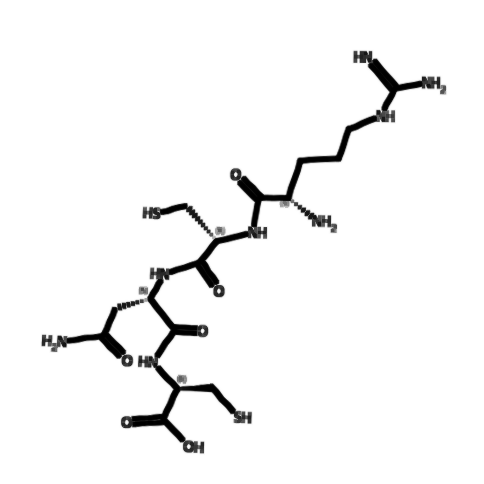 N=C(N)NCCC[C@H](N)C(=O)N[C@@H](CS)C(=O)N[C@@H](CC(N)=O)C(=O)N[C@@H](CS)C(=O)O